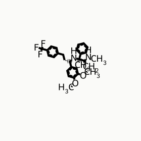 C=C(NC)[C@@](C)(N[C@@H](CCc1ccc(C(F)(F)F)cc1)c1ccc(OC)c(OC)c1)c1ccccc1